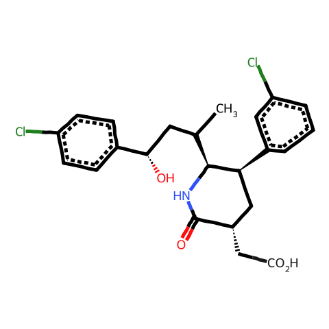 CC(C[C@H](O)c1ccc(Cl)cc1)[C@@H]1NC(=O)[C@@H](CC(=O)O)C[C@@H]1c1cccc(Cl)c1